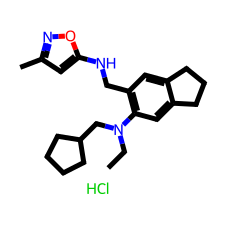 CCN(CC1CCCC1)c1cc2c(cc1CNc1cc(C)no1)CCC2.Cl